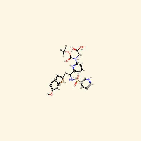 COc1ccc2cc(CC(NS(=O)(=O)c3cccnc3)c3cccc(N(CC(=O)O)C(=O)OC(C)(C)C)n3)sc2c1